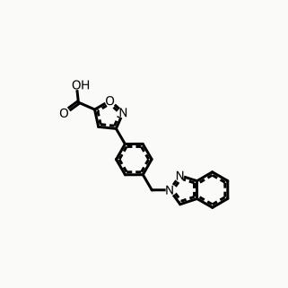 O=C(O)c1cc(-c2ccc(Cn3cc4ccccc4n3)cc2)no1